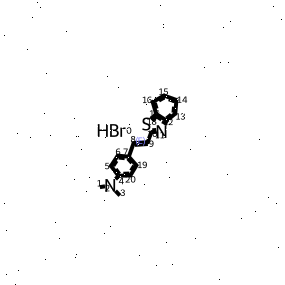 Br.CN(C)c1ccc(/C=C/c2nc3ccccc3s2)cc1